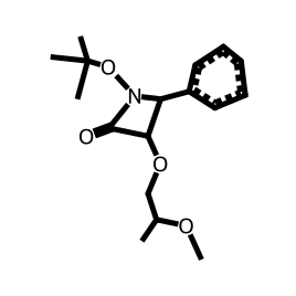 COC(C)COC1C(=O)N(OC(C)(C)C)C1c1ccccc1